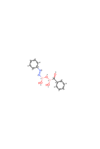 O=C(B(O)OB(O)N=Nc1ccccc1)c1ccccc1